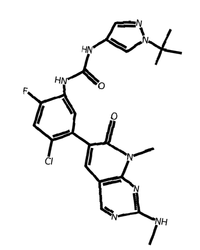 CNc1ncc2cc(-c3cc(NC(=O)Nc4cnn(C(C)(C)C)c4)c(F)cc3Cl)c(=O)n(C)c2n1